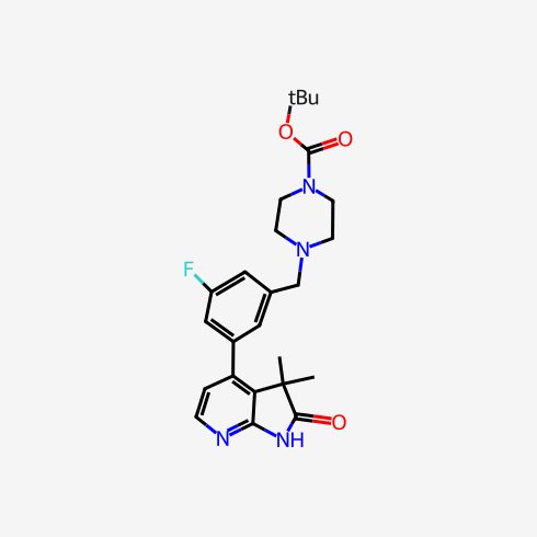 CC(C)(C)OC(=O)N1CCN(Cc2cc(F)cc(-c3ccnc4c3C(C)(C)C(=O)N4)c2)CC1